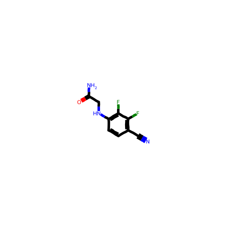 N#Cc1ccc(NCC(N)=O)c(F)c1F